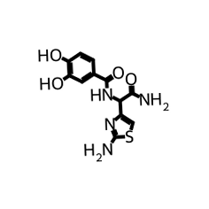 NC(=O)C(NC(=O)c1ccc(O)c(O)c1)c1csc(N)n1